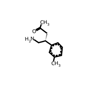 CC(=O)C[C@@H](CN)c1cccc(C)c1